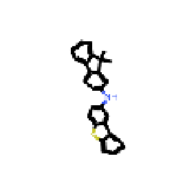 CC1(C)c2ccccc2-c2ccc(Nc3ccc4sc5ccccc5c4c3)cc21